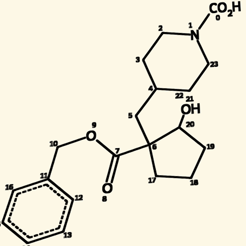 O=C(O)N1CCC(CC2(C(=O)OCc3ccccc3)CCCC2O)CC1